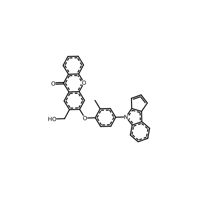 Cc1cc(-n2c3c(c4ccccc42)C=C=C3)ccc1Oc1cc2oc3ccccc3c(=O)c2cc1CO